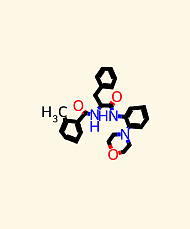 Cc1ccccc1C(=O)NC(Cc1ccccc1)C(=O)Nc1ccccc1N1CCOCC1